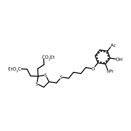 CCCc1c(OCCCCSCC2CSC(CCC(=O)OCC)(CCC(=O)OCC)S2)ccc(C(C)=O)c1O